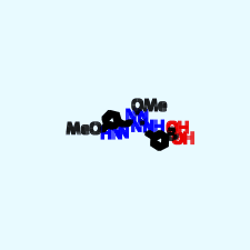 COCc1cccc2c(-c3nc(NCc4cccc(B(O)O)c4)nc(OC)n3)n[nH]c12